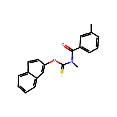 Cc1cccc(C(=O)N(C)C(=S)Oc2ccc3ccccc3c2)c1